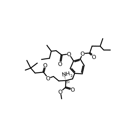 CCC(C)CC(=O)Oc1ccc(C[C@](N)(CCOC(=O)CC(C)(C)C)C(=O)OC)cc1OC(=O)CC(C)CC